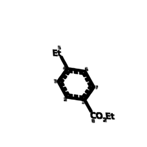 CCOC(=O)c1ccc(CC)cc1